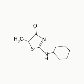 CC1SC(NC2CCCCC2)=NC1=O